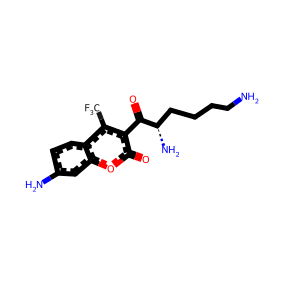 NCCCC[C@H](N)C(=O)c1c(C(F)(F)F)c2ccc(N)cc2oc1=O